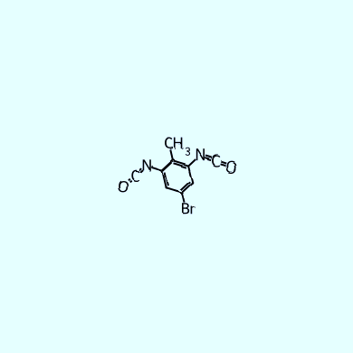 Cc1c(N=C=O)cc(Br)cc1N=C=O